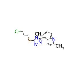 Cc1ccc2c(-c3nnc(SCCCCl)n3C)cccc2n1